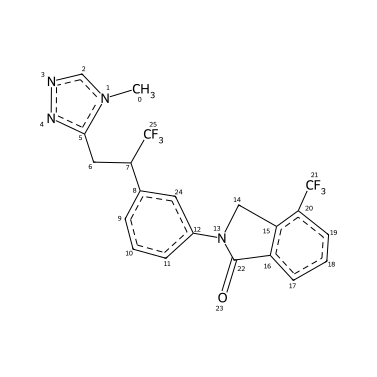 Cn1cnnc1CC(c1cccc(N2Cc3c(cccc3C(F)(F)F)C2=O)c1)C(F)(F)F